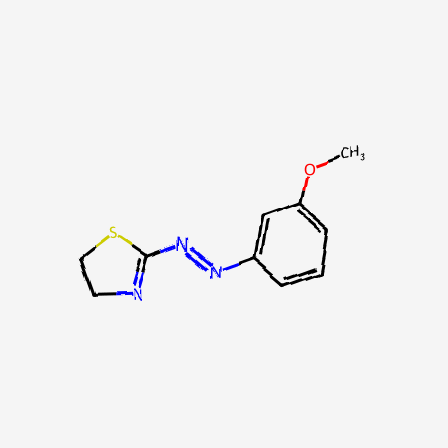 COc1cccc(/N=N/C2=NCCS2)c1